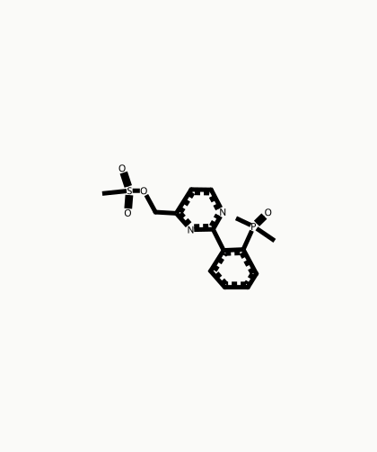 CP(C)(=O)c1ccccc1-c1nccc(COS(C)(=O)=O)n1